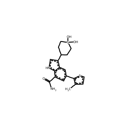 Cc1ccsc1-c1cc(C(N)=O)c2[nH]cc(C3CCS(O)(O)CC3)c2c1